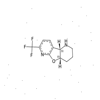 FC(F)(F)c1ccc2c(n1)O[C@H]1CCCN[C@@H]21